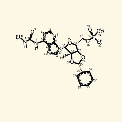 CCNC(=O)Nc1ncnc2c1ncn2[C@@H]1O[C@H](COP(=O)(O)CC)C2O[C@H](c3ccccc3)O[C@@H]21